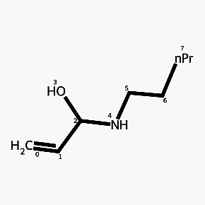 C=CC(O)NCCCCC